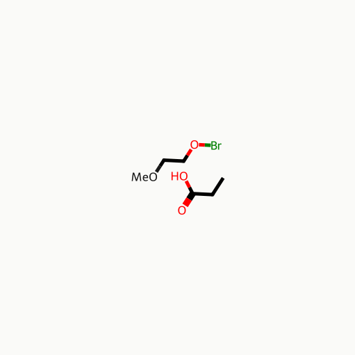 CCC(=O)O.COCCOBr